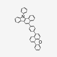 c1ccc(-n2c3ccccc3c3cc(-c4ccc(-c5ccc6c7c(cccc57)-c5ccccc5O6)cc4)c4ccccc4c32)cc1